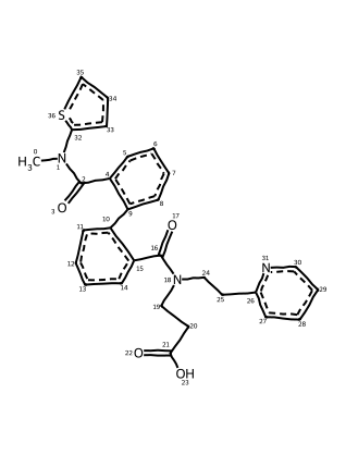 CN(C(=O)c1ccccc1-c1ccccc1C(=O)N(CCC(=O)O)CCc1ccccn1)c1cccs1